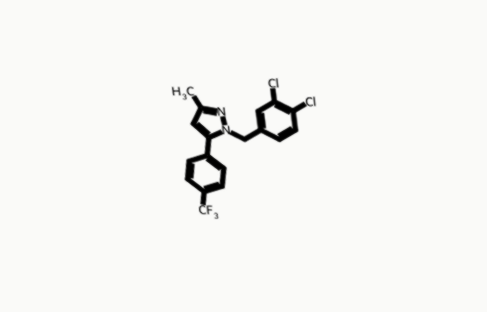 Cc1cc(-c2ccc(C(F)(F)F)cc2)n(Cc2ccc(Cl)c(Cl)c2)n1